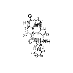 Cc1cc2[nH]c(=O)c3cnn(C4CCCC4)c3c2cc1C(=O)NCC(C)(C=N)N1CCOCC1